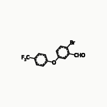 O=Cc1cc(Oc2ccc(C(F)(F)F)cc2)ccc1Br